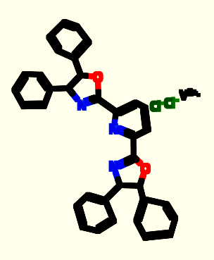 [Cl-].[Cl-].[V+2].c1ccc(C2N=C(c3cccc(C4=NC(c5ccccc5)C(c5ccccc5)O4)n3)OC2c2ccccc2)cc1